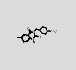 CCOC(=O)N1CCC(Cn2c(=O)c3cc(C)ccc3n(C)c2=O)CC1